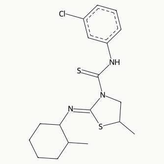 CC1CN(C(=S)Nc2cccc(Cl)c2)C(=NC2CCCCC2C)S1